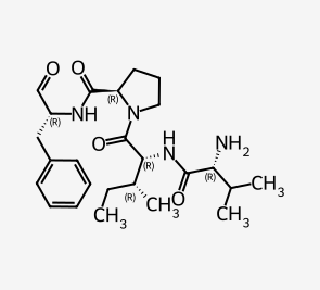 CC[C@@H](C)[C@@H](NC(=O)[C@H](N)C(C)C)C(=O)N1CCC[C@@H]1C(=O)N[C@@H](C=O)Cc1ccccc1